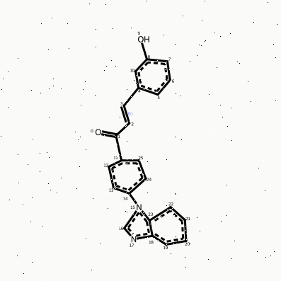 O=C(/C=C/c1cccc(O)c1)c1ccc(-n2cnc3ccccc32)cc1